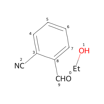 CCO.N#Cc1ccccc1C=O